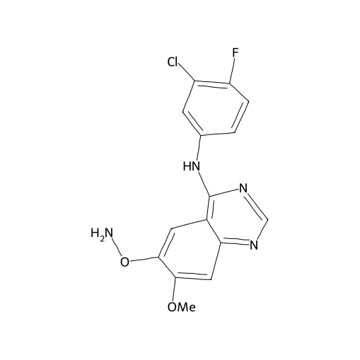 COc1cc2ncnc(Nc3ccc(F)c(Cl)c3)c2cc1ON